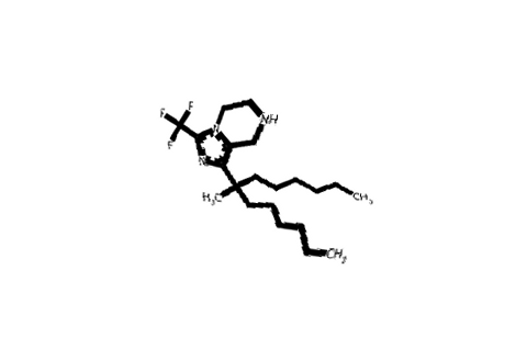 CCCCCCC(C)(CCCCCC)c1nc(C(F)(F)F)n2c1CNCC2